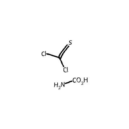 NC(=O)O.S=C(Cl)Cl